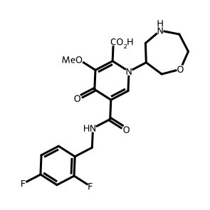 COc1c(C(=O)O)n(C2CNCCOC2)cc(C(=O)NCc2ccc(F)cc2F)c1=O